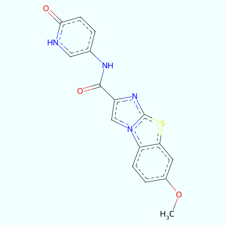 COc1ccc2c(c1)sc1nc(C(=O)Nc3ccc(=O)[nH]c3)cn12